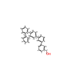 OCc1cccc(-c2cccc(-c3ccc4c5ccccc5c5ccccc5c4c3)c2)c1